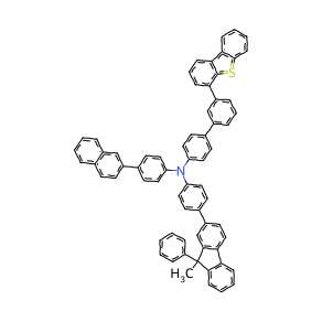 CC1(c2ccccc2)c2ccccc2-c2ccc(-c3ccc(N(c4ccc(-c5cccc(-c6cccc7c6sc6ccccc67)c5)cc4)c4ccc(-c5ccc6ccccc6c5)cc4)cc3)cc21